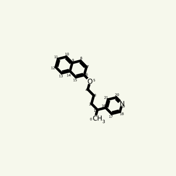 CC(CCCOc1ccc2ccccc2c1)c1ccncc1